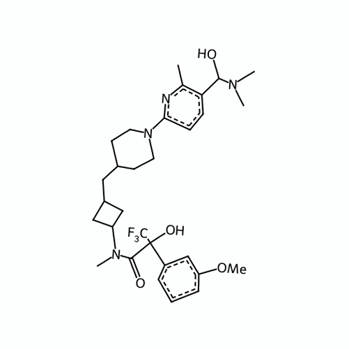 COc1cccc(C(O)(C(=O)N(C)C2CC(CC3CCN(c4ccc(C(O)N(C)C)c(C)n4)CC3)C2)C(F)(F)F)c1